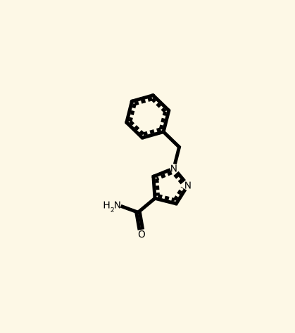 NC(=O)c1cnn(Cc2ccccc2)c1